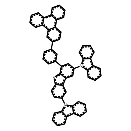 c1cc(-c2ccc3c4ccccc4c4ccccc4c3c2)cc(-c2cc(-n3c4ccccc4c4ccccc43)cc3c2sc2ccc(-n4c5ccccc5c5ccccc54)cc23)c1